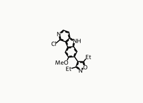 CCc1noc(CC)c1-c1cc2[nH]c3ccnc(Cl)c3c2cc1OC